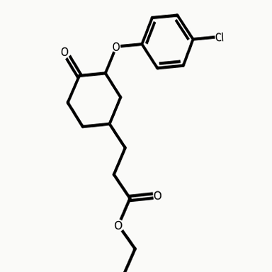 CCOC(=O)CCC1CCC(=O)C(Oc2ccc(Cl)cc2)C1